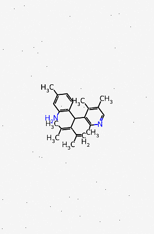 C=C(C)C(=C(C)C)C(c1ccc(C)cc1N)c1c(C)ncc(C)c1C